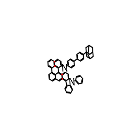 c1ccc(-c2cccc3cccc(-c4ccccc4N(c4ccc(-c5ccc(C67CC8CC(CC(C8)C6)C7)cc5)cc4)c4ccc5c6ccccc6n(-c6ccccc6)c5c4)c23)cc1